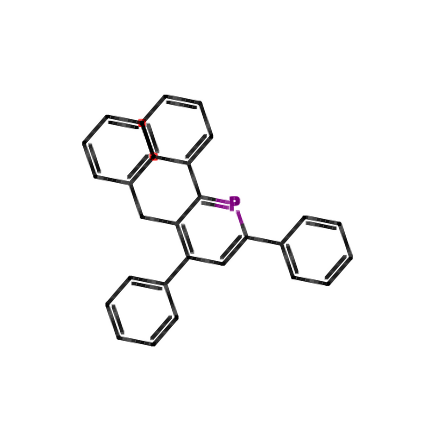 c1ccc(Cc2c(-c3ccccc3)cc(-c3ccccc3)pc2-c2ccccc2)cc1